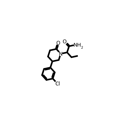 CCC(C(N)=O)N1CC(c2cccc(Cl)c2)CCC1=O